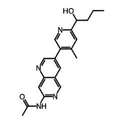 CCCC(O)c1cc(C)c(-c2cnc3cc(NC(C)=O)ncc3c2)cn1